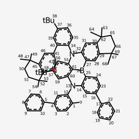 Cc1ccc(-c2ccccc2)cc1N1c2cc(-c3ccccc3)ccc2B2c3cc4c(cc3N(c3ccc(C(C)(C)C)cc3-c3ccc5c(c3)C(C)(C)CCC5(C)C)c3cc(C(C)(C)C)cc1c32)C(C)(C)CCC4(C)C